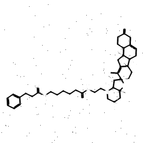 CC1=C2C[C@H]3[C@@H](CC=C4CC(=O)CC[C@@]43C)[C@@H]2CC[C@]12O[C@@H]1C[C@H](C)CN(CCNC(=O)CCCCCNC(=O)CCc3ccccc3)[C@H]1[C@H]2C